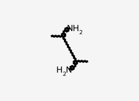 CCCCCCCc1cc(Cc2ccc(N)cc2)ccc1CCCCCCCCCCCCCCCCc1ccc(Cc2ccc(N)cc2)cc1CCCCCCC